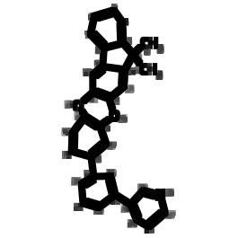 CC1(C)c2ccccc2-c2cc3c(cc21)Oc1cc(-c2cccc(-c4cccnc4)c2)ccc1O3